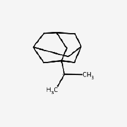 C[C](C)C12CC3CC(CC(C3)C1)C2